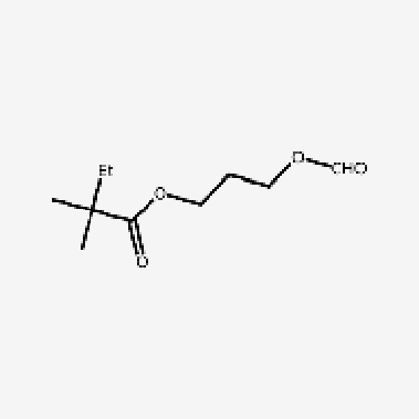 CCC(C)(C)C(=O)OCCCOC=O